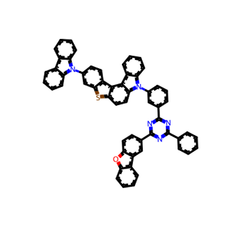 c1ccc(-c2nc(-c3cccc(-n4c5ccccc5c5c6c(ccc54)sc4cc(-n5c7ccccc7c7ccccc75)ccc46)c3)nc(-c3ccc4oc5ccccc5c4c3)n2)cc1